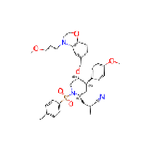 COCCCN1CCOc2ccc(CO[C@H]3CN(S(=O)(=O)c4ccc(C)cc4)[C@H](CC(C)C#N)C[C@@H]3c3ccc(OC)cc3)cc21